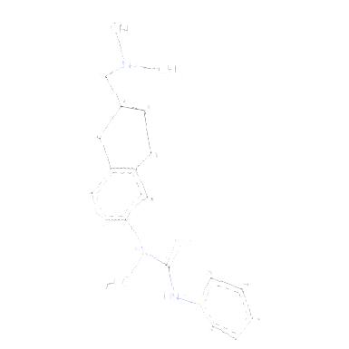 CN(C)CC1CCc2cc(N(C)C(=O)Nc3ccccc3)ccc2C1